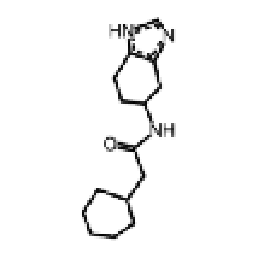 O=C(CC1CCCCC1)NC1CCc2[nH]cnc2C1